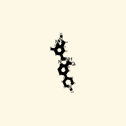 Cc1cc(-c2nc3ccc(C4CCN(C)CC4)cc3c(=O)[nH]2)cc2cn(C)nc12